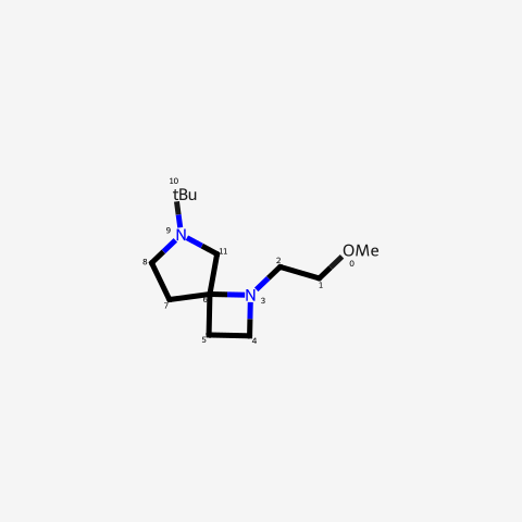 COCCN1CCC12CCN(C(C)(C)C)C2